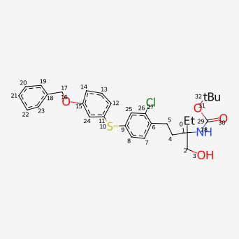 CCC(CO)(CCc1ccc(Sc2cccc(OCc3ccccc3)c2)cc1Cl)NC(=O)OC(C)(C)C